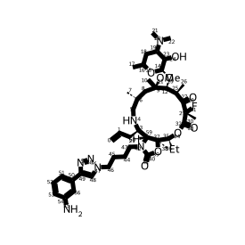 C=CC[C@H]1NC[C@H](C)C[C@@](C)(OC)[C@H](O[C@@H]2OC(C)CC(N(C)C)C2O)[C@@H](C)C(=O)[C@](C)(F)C(=O)O[C@H](CC)[C@@]2(C)OC(=O)N(CCCCn3cc(-c4cccc(N)c4)nn3)[C@H]12